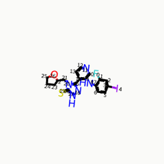 Fc1cc(I)ccc1Nc1cnccc1-c1n[nH]c(=S)n1CC1CCCO1